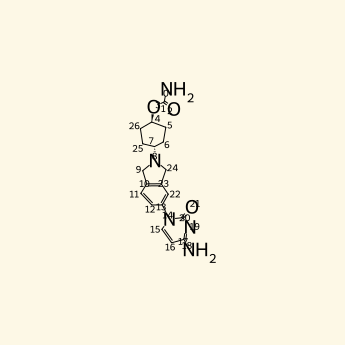 NC(=O)O[C@H]1CC[C@H](N2Cc3ccc(-n4ccc(N)nc4=O)cc3C2)CC1